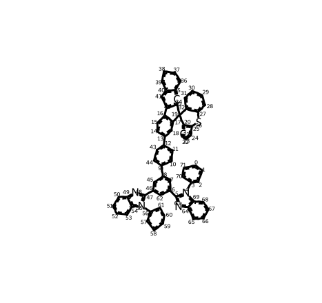 c1ccc(-n2c(-c3cc(-c4ccc(-c5ccc6c(c5)C5(c7ccccc7Sc7ccccc75)c5cc7ccccc7cc5-6)cc4)cc(-c4nc5ccccc5n4-c4ccccc4)c3)nc3ccccc32)cc1